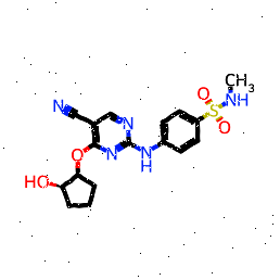 CNS(=O)(=O)c1ccc(Nc2ncc(C#N)c(OC3CCC[C@H]3O)n2)cc1